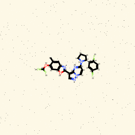 Cc1cc2nc(-c3cnn4ccc(N5CCC[C@@H]5c5cc(F)ccc5F)nc34)oc2cc1OC(F)F